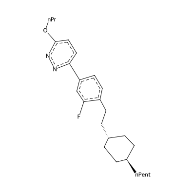 CCCCC[C@H]1CC[C@H](CCc2ccc(-c3ccc(OCCC)nn3)cc2F)CC1